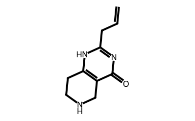 C=CCc1nc(=O)c2c([nH]1)CCNC2